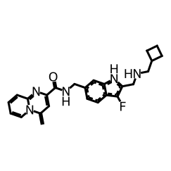 C=C1C=C(C(=O)NCc2ccc3c(F)c(CNCC4CCC4)[nH]c3c2)N=C2C=CC=CN12